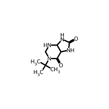 CC(C)(C)N1CNC2NC(=O)NC2C1=O